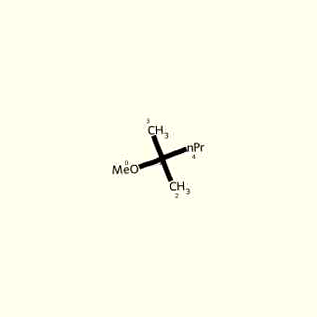 [C]OC(C)(C)CCC